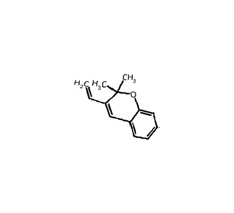 C=CC1=Cc2cc[c]cc2OC1(C)C